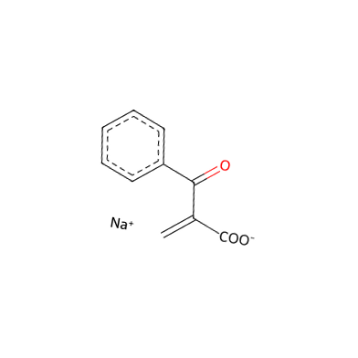 C=C(C(=O)[O-])C(=O)c1ccccc1.[Na+]